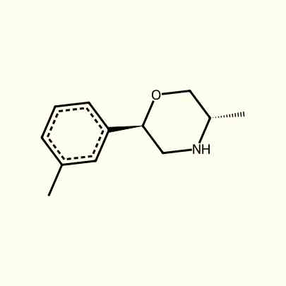 Cc1cccc([C@@H]2CN[C@@H](C)CO2)c1